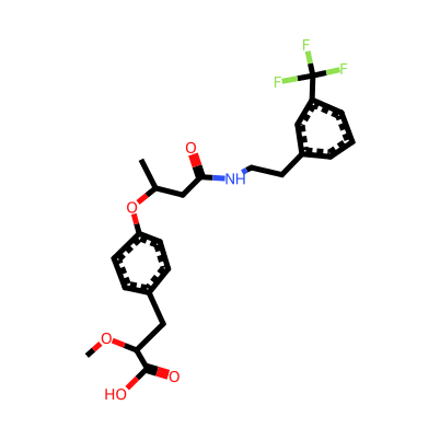 COC(Cc1ccc(OC(C)CC(=O)NCCc2cccc(C(F)(F)F)c2)cc1)C(=O)O